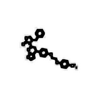 O=C(CC(c1ccc(OCCOc2ccc(C(F)(F)F)cc2)cc1)c1ccon1)N1C(=O)OCC1Cc1ccccc1